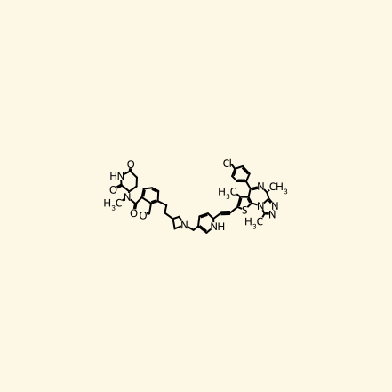 Cc1c(C#CC2C=CC(CN3CC(CCc4cccc(C(=O)N(C)C5CCC(=O)NC5=O)c4C=O)C3)=CN2)sc2c1C(c1ccc(Cl)cc1)=N[C@@H](C)c1nnc(C)n1-2